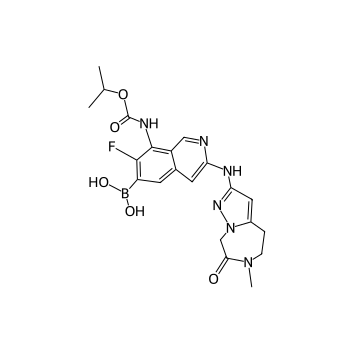 CC(C)OC(=O)Nc1c(F)c(B(O)O)cc2cc(Nc3cc4n(n3)CC(=O)N(C)CC4)ncc12